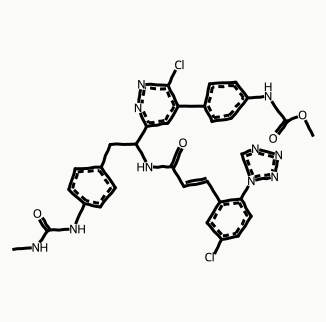 CNC(=O)Nc1ccc(CC(NC(=O)/C=C/c2cc(Cl)ccc2-n2cnnn2)c2cc(-c3ccc(NC(=O)OC)cc3)c(Cl)nn2)cc1